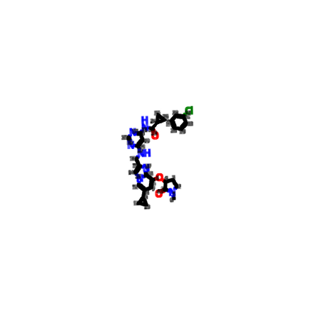 CN1CCC(Oc2cc(C3CC3)cn3cc(CNc4cc(NC(=O)[C@H]5C[C@@H]5c5cccc(Cl)c5)ncn4)nc23)C1=O